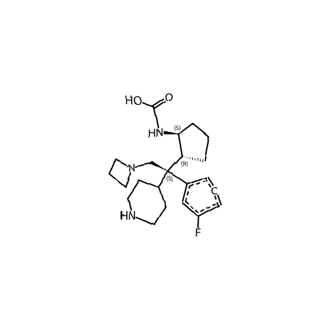 O=C(O)N[C@H]1CCC[C@@H]1[C@](CN1CCC1)(c1cccc(F)c1)C1CCNCC1